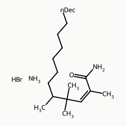 Br.CCCCCCCCCCCCCCCCC(C)C(C)(C)C=C(C)C(N)=O.N